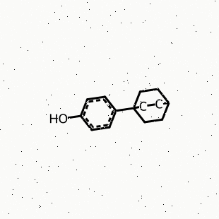 Oc1ccc(C23CCC(CC2)CC3)cc1